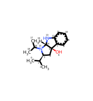 CC(C)[C@@H]1C[C@@]2(O)c3ccccc3N[C@H]2N1C(C)C